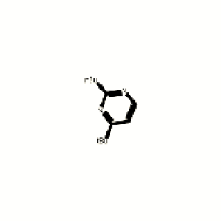 CCCCc1nccc(C(C)(C)C)n1